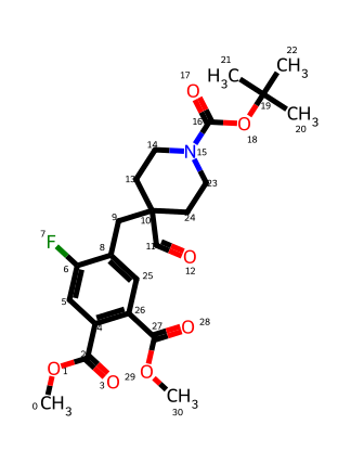 COC(=O)c1cc(F)c(CC2(C=O)CCN(C(=O)OC(C)(C)C)CC2)cc1C(=O)OC